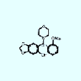 COc1ccccc1[C@H](c1cc2c(cc1O)OCO2)N1CCOCC1